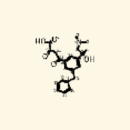 CN(C)CC(C)(O)c1cc(Cc2ccccc2)cc(C(=O)CC(=O)C(=O)O)c1